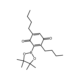 CCCCC1=CC(=O)C(CCCC)=C(B2OC(C)(C)C(C)(C)O2)C1=O